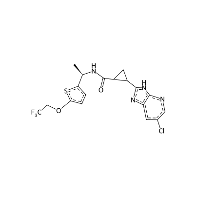 C[C@@H](NC(=O)C1CC1c1nc2cc(Cl)cnc2[nH]1)c1ccc(OCC(F)(F)F)s1